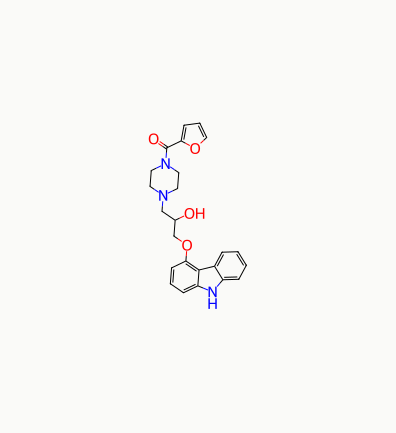 O=C(c1ccco1)N1CCN(CC(O)COc2cccc3[nH]c4ccccc4c23)CC1